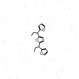 CCC(c1ccco1)c1ccc(C(CC)c2ccco2)o1